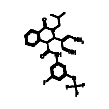 CC(C)CN1C(=O)c2ccccc2[C@@H](C(=O)Nc2cc(F)cc(OC(F)(F)F)c2)C1/C(C=N)=C/N